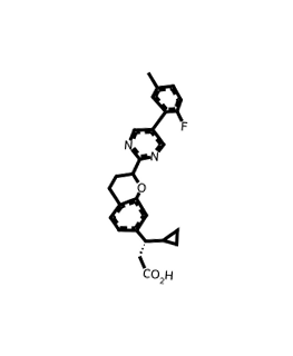 Cc1ccc(F)c(-c2cnc(C3CCc4ccc([C@@H](CC(=O)O)C5CC5)cc4O3)nc2)c1